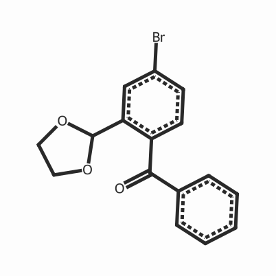 O=C(c1ccccc1)c1ccc(Br)cc1C1OCCO1